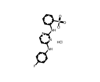 Cl.O=S(=O)(Cl)c1ccccc1Nc1nccc(Nc2ccc(F)cc2)n1